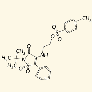 Cc1ccc(S(=O)(=O)OCCNC2=C(c3ccccc3)S(=O)(=O)N(C(C)(C)C)C2=O)cc1